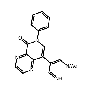 CN/C=C(\C=N)c1cn(-c2ccccc2)c(=O)c2nccnc12